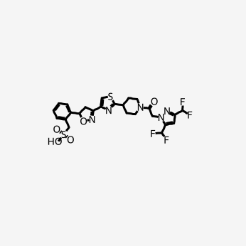 O=C(Cn1nc(C(F)F)cc1C(F)F)N1CCC(c2nc(C3=NOC(c4ccccc4CS(=O)(=O)O)C3)cs2)CC1